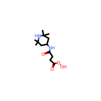 CC1(C)CC(NC(=O)CCC(=O)OO)CC(C)(C)N1